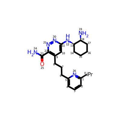 CC(C)c1cccc(CCCc2cc(N[C@@H]3CCCC[C@@H]3N)nnc2C(N)=O)n1